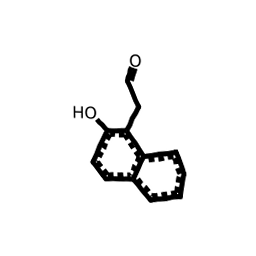 O=CCc1c(O)ccc2ccccc12